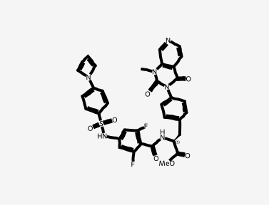 COC(=O)[C@H](Cc1ccc(-n2c(=O)c3ccncc3n(C)c2=O)cc1)NC(=O)c1c(F)cc(NS(=O)(=O)c2ccc(-n3cccc3)cc2)cc1F